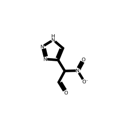 O=CC(c1c[nH]nn1)[N+](=O)[O-]